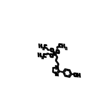 CCO[Si](CCCN1CCN=C1c1ccc(O)cc1)(OCC)OCC